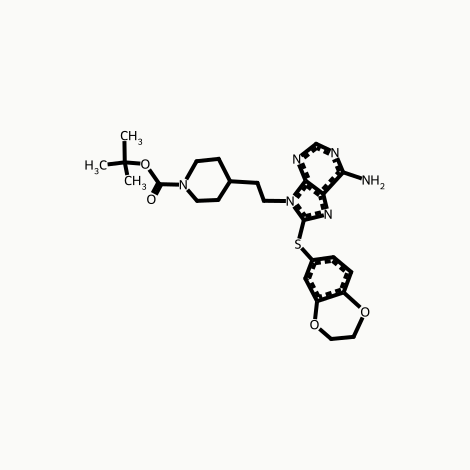 CC(C)(C)OC(=O)N1CCC(CCn2c(Sc3ccc4c(c3)OCCO4)nc3c(N)ncnc32)CC1